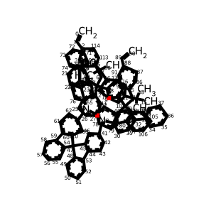 C=Cc1ccc(CC2(c3ccc(C(C)(C)C)cc3)c3ccccc3-c3ccc(N(c4ccc(-c5ccccc5)cc4)c4ccc5c(c4)C4(c6ccccc6-5)c5ccccc5-c5ccc(N(c6ccc(-c7ccccc7)cc6)c6ccc7c(c6)C(Cc6ccc(C=C)cc6)(c6ccc(C(C)(C)C)cc6)c6ccccc6-7)cc54)cc32)cc1